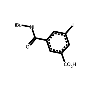 CCC(C)NC(=O)c1cc(I)cc(C(=O)O)c1